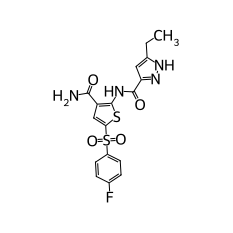 CCc1cc(C(=O)Nc2sc(S(=O)(=O)c3ccc(F)cc3)cc2C(N)=O)n[nH]1